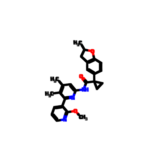 COc1ncccc1-c1nc(NC(=O)C2(c3ccc4c(c3)CC(C)O4)CC2)cc(C)c1C